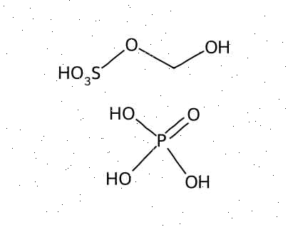 O=P(O)(O)O.O=S(=O)(O)OCO